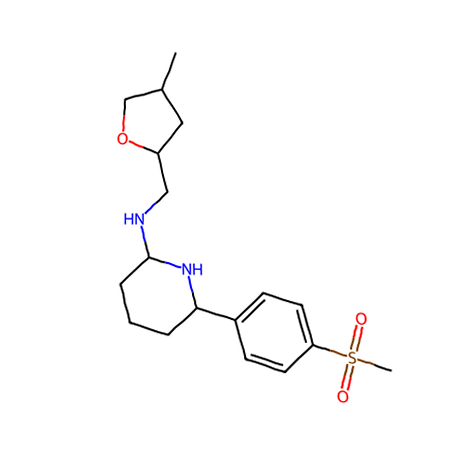 CC1COC(CNC2CCCC(c3ccc(S(C)(=O)=O)cc3)N2)C1